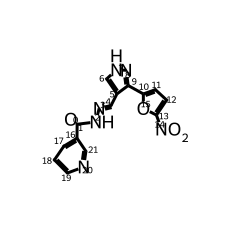 O=C(N/N=C/c1c[nH]nc1-c1ccc([N+](=O)[O-])o1)c1cccnc1